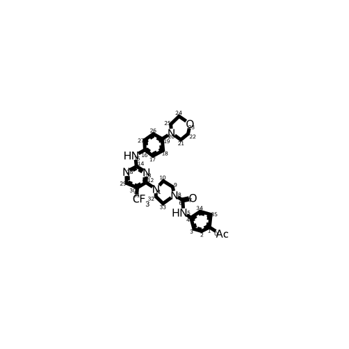 CC(=O)c1ccc(NC(=O)N2CCN(c3nc(Nc4ccc(N5CCOCC5)cc4)ncc3C(F)(F)F)CC2)cc1